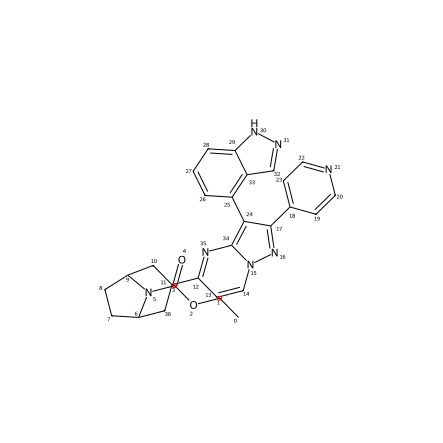 CCOC(=O)N1C2CCC1CC(c1ccn3nc(-c4ccncc4)c(-c4cccc5[nH]ncc45)c3n1)C2